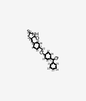 O=C1NC(=S)SC1=Cc1ccc(COc2ccc(C(=O)c3ccccc3)cc2)cc1